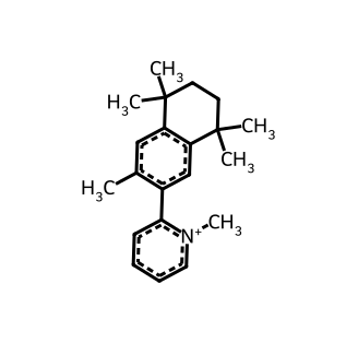 Cc1cc2c(cc1-c1cccc[n+]1C)C(C)(C)CCC2(C)C